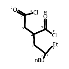 CCCCC(CC)CC(CC(=O)Cl)C(=O)Cl